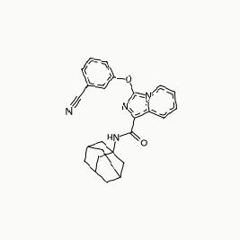 N#Cc1cccc(Oc2nc(C(=O)NC34CC5CC(CC(C5)C3)C4)c3ccccn23)c1